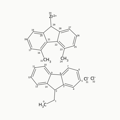 CCC1c2ccccc2-c2ccccc21.Cc1cccc2c1-c1c(C)cccc1[CH]2[Zr+2].[Cl-].[Cl-]